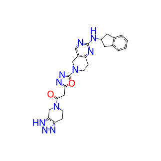 O=C(Cc1nnc(N2CCc3nc(NC4Cc5ccccc5C4)ncc3C2)o1)N1CCc2nn[nH]c2C1